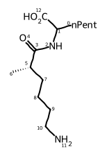 CCCCCC(NC(=O)[C@@H](C)CCCCN)C(=O)O